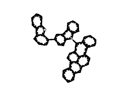 c1ccc2c(c1)cc1ccc3c4ccccc4c(-n4c5ccccc5c5cc(-c6cccc7c6sc6ccccc67)ccc54)c4ccc2c1c43